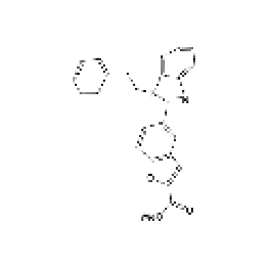 COC(=O)c1cc2cc(-c3nc4ccccc4n3CCC3=CC=CCC3)ccc2o1